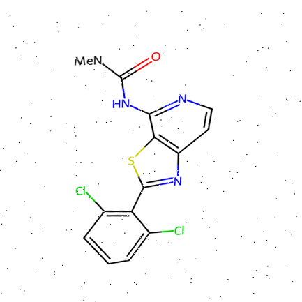 CNC(=O)Nc1nccc2nc(-c3c(Cl)cccc3Cl)sc12